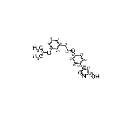 CC(C)Oc1cccc(CCOc2ccc(-c3cc(O)no3)cc2)c1